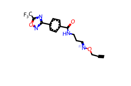 C#CCO/N=C/CCNC(=O)c1ccc(-c2noc(C(F)(F)F)n2)cc1